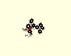 C=C/C=C\C1=C(N(c2ccccc2)c2ccc(-c3ccc(N(C4=CC=CC5CC=CC=C45)c4ccccc4)cc3)cc2)C=CC=C(C)C1C(C)(C)c1ccc(C=C)cc1